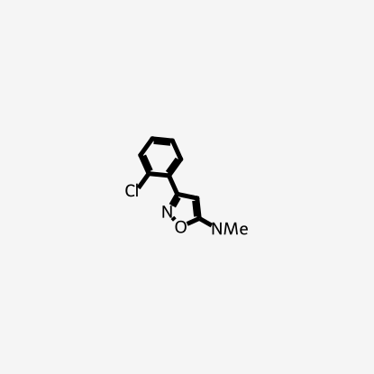 CNc1cc(-c2ccccc2Cl)no1